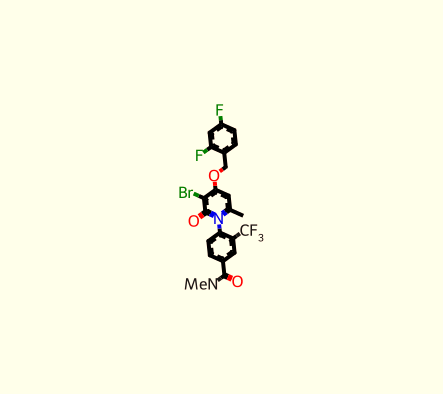 CNC(=O)c1ccc(-n2c(C)cc(OCc3ccc(F)cc3F)c(Br)c2=O)c(C(F)(F)F)c1